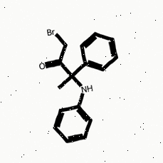 CC(Nc1ccccc1)(C(=O)CBr)c1ccccc1